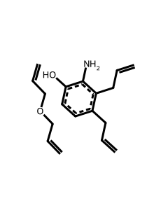 C=CCOCC=C.C=CCc1ccc(O)c(N)c1CC=C